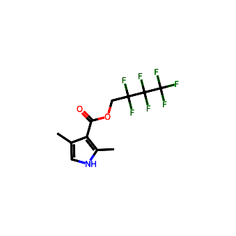 Cc1c[nH]c(C)c1C(=O)OCC(F)(F)C(F)(F)C(F)(F)F